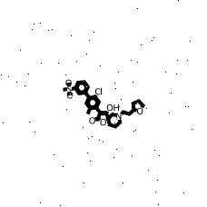 Cc1cc(-c2cccc(S(C)(=O)=O)c2)c(Cl)cc1C1=C(O)C2(CCCN(CCC3CCCO3)C2)OC1=O